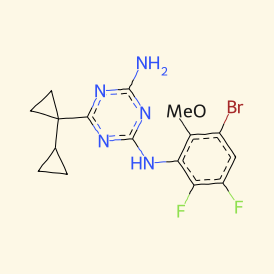 COc1c(Br)cc(F)c(F)c1Nc1nc(N)nc(C2(C3CC3)CC2)n1